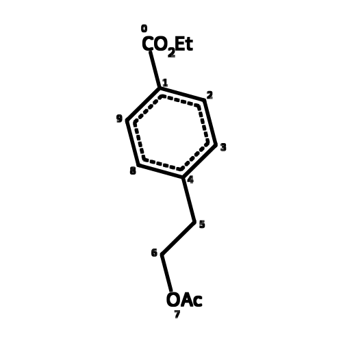 CCOC(=O)c1ccc(CCOC(C)=O)cc1